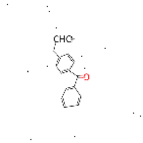 O=[C]Cc1ccc(C(=O)c2ccccc2)cc1